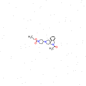 CCOC(=O)N1CCC(N2CCC3(CC2)CN(C(C)=O)Cc2ccccc23)CC1